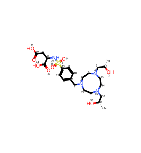 C[C@H](O)CN1CCN(Cc2ccc(S(=O)(=O)NC(CC(=O)O)C(=O)O)cc2)CCN(C[C@H](C)O)CC1